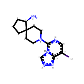 N[C@@H]1CCCC12CCN(c1ncc(I)c3nncn13)CC2